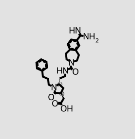 N=C(N)c1ccc2c(c1)CCN(C(=O)NCC[C@@H]1C[C@@H](CC(=O)O)C(=O)N1CCCc1ccccc1)CC2